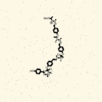 CCC(C)(Oc1ccc(/C=N/N(C)[PH](=S)C(C)Oc2ccc(/C=N/N(C)[PH](=S)C(C)OC)cc2)cc1)[PH](=S)N(C)/N=C/c1ccc(OC(CC)(CC)[PH](=S)N(C)/N=C/c2ccc(O)cc2)cc1